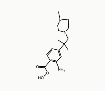 CN1CCN(CC(C)(C)c2ccc(C(=O)OO)c(N)c2)CC1